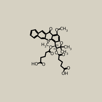 COc1cc2c(c3c1c(=O)c1cc4ccccc4cc1n3C)[C@H](OC(=O)CCCC(=O)O)[C@H](OC(=O)CCCC(=O)O)C(C)(C)O2